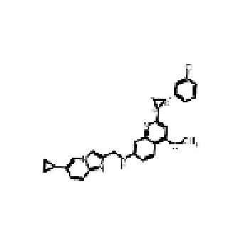 COc1cc([C@H]2C[C@@H]2c2cccc(Cl)c2)nc2cc(NCc3cn4cc(C5CC5)ccc4n3)ccc12